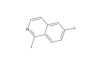 Ic1ccc2c(I)nccc2c1